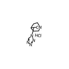 Cl.c1nnnn1C1CN2CCC1CC2